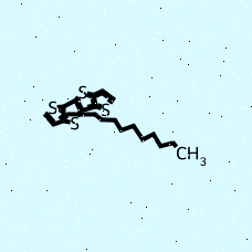 CCCCCCCCCCC1=CC23C=CSC2(S1)c1sc2ccsc2c1S3